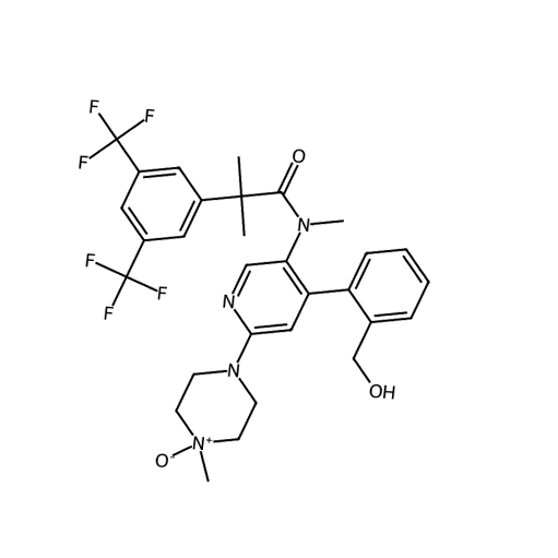 CN(C(=O)C(C)(C)c1cc(C(F)(F)F)cc(C(F)(F)F)c1)c1cnc(N2CC[N+](C)([O-])CC2)cc1-c1ccccc1CO